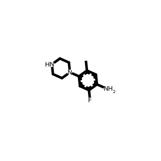 Cc1cc(N)c(F)cc1N1CCNCC1